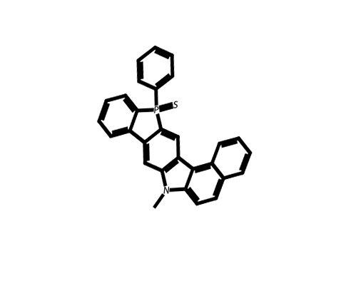 Cn1c2cc3c(cc2c2c4ccccc4ccc21)P(=S)(c1ccccc1)c1ccccc1-3